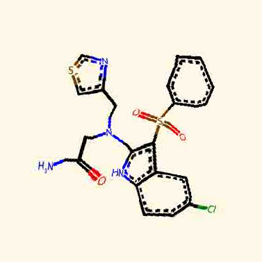 NC(=O)CN(Cc1cscn1)c1[nH]c2ccc(Cl)cc2c1S(=O)(=O)c1ccccc1